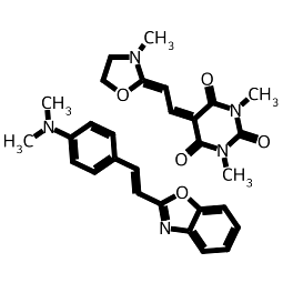 CN(C)c1ccc(C=Cc2nc3ccccc3o2)cc1.CN1CCOC1=CC=C1C(=O)N(C)C(=O)N(C)C1=O